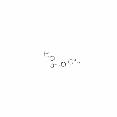 Cc1cc(OCc2ccsc2-c2cccc(-n3ncc(C(=O)O)c3F)n2)ccc1C1CCN(C(=O)C2CC2)CC1